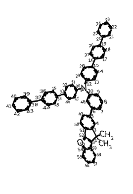 CC1(C)c2cc(-c3cccc(N(c4ccc(-c5ccc(-c6ccccc6)cc5)cc4)c4ccc(-c5ccc(-c6ccccc6)cc5)cc4)c3)ccc2-c2oc3ccccc3c21